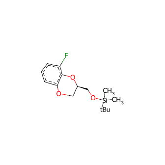 CC(C)(C)[Si](C)(C)OC[C@H]1COc2cccc(F)c2O1